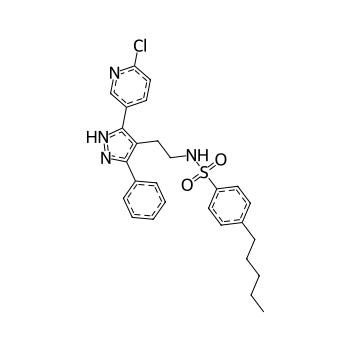 CCCCCc1ccc(S(=O)(=O)NCCc2c(-c3ccccc3)n[nH]c2-c2ccc(Cl)nc2)cc1